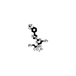 CCCc1cc(NC(CC(C)C)C(=O)O)nc(-n2cnc(-c3cccc(OC(F)(F)F)c3)c2)n1